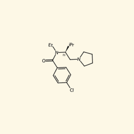 CCN(C(=O)c1ccc(Cl)cc1)[C@H](CN1CCCC1)C(C)C